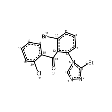 CCc1nncn1-c1cccc(Br)c1C(=O)c1ccccc1Cl